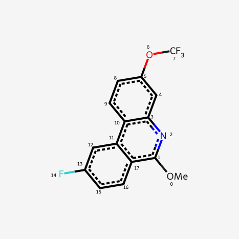 COc1nc2cc(OC(F)(F)F)ccc2c2cc(F)ccc12